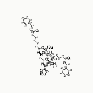 CN(CCCN(CC(CCCCCC(=O)OCc1ccccc1)O[Si](C)(C)C(C)(C)C)CC(CCCCCC(=O)OCc1ccccc1)O[Si](C)(C)C(C)(C)C)C(=O)OC(C)(C)C